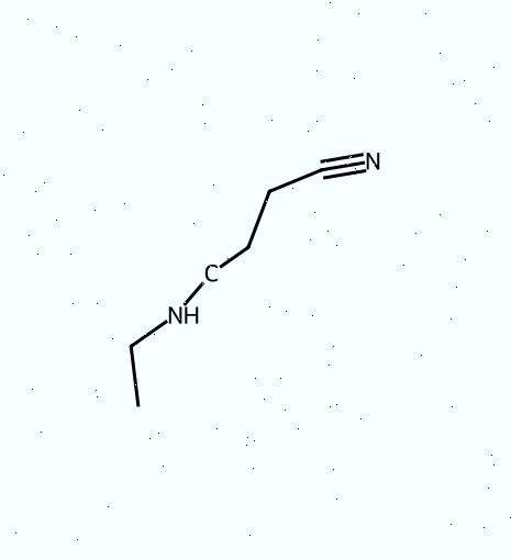 CCNCCCC#N